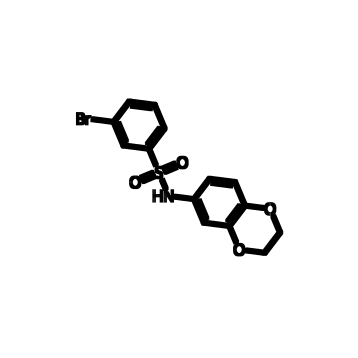 O=S(=O)(Nc1ccc2c(c1)OCCO2)c1cccc(Br)c1